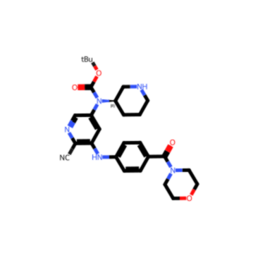 CC(C)(C)OC(=O)N(c1cnc(C#N)c(Nc2ccc(C(=O)N3CCOCC3)cc2)c1)[C@@H]1CCCNC1